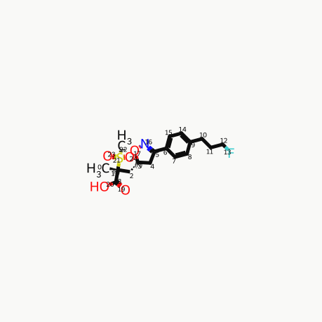 C[C@@](C[C@H]1CC(c2ccc(CCCF)cc2)=NO1)(C(=O)O)S(C)(=O)=O